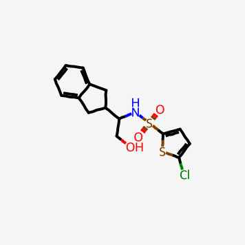 O=S(=O)(NC(CO)C1Cc2ccccc2C1)c1ccc(Cl)s1